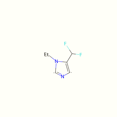 CCn1[c]n[c]c1C(F)F